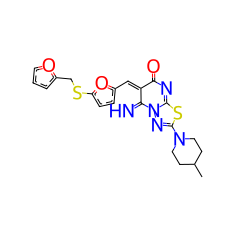 CC1CCN(C2=NN3C(=N)/C(=C\c4ccc(SCc5ccco5)o4)C(=O)N=C3S2)CC1